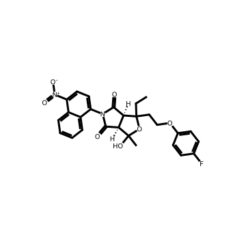 CCC1(CCOc2ccc(F)cc2)OC(C)(O)[C@H]2C(=O)N(c3ccc([N+](=O)[O-])c4ccccc34)C(=O)[C@H]21